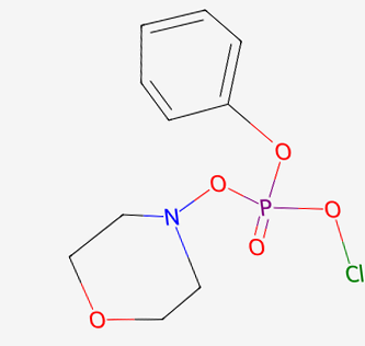 O=P(OCl)(Oc1ccccc1)ON1CCOCC1